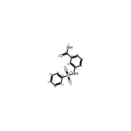 [NH]C(=O)c1cccc(NS(=O)(=O)c2ccccc2)c1